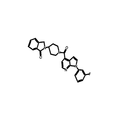 O=C(c1ccnc2c1ccn2-c1cccc(F)c1)N1CCC(N2Cc3ccccc3C2=O)CC1